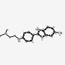 CN(C)CCNc1ccc(-c2nc3cc(C#N)ccc3[nH]2)cc1